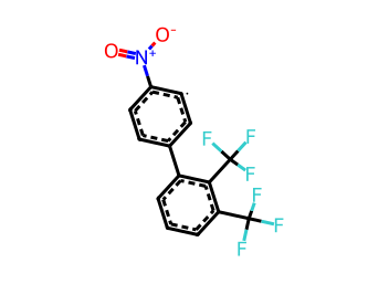 O=[N+]([O-])c1[c]cc(-c2cccc(C(F)(F)F)c2C(F)(F)F)cc1